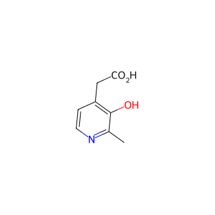 Cc1nccc(CC(=O)O)c1O